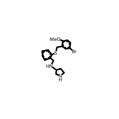 COc1ccc(Br)cc1CSc1ccccc1CNC1CCNC1